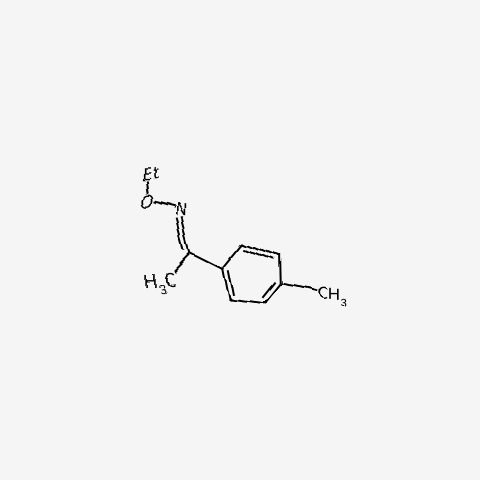 CCO/N=C(\C)c1ccc(C)cc1